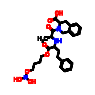 CC(NC(CCc1ccccc1)C(=O)OCCCCON(O)O)C(=O)N1Cc2ccccc2CC1C(=O)O